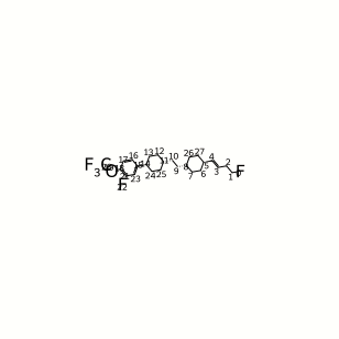 FCCC=C[C@H]1CC[C@H](CC[C@H]2CC[C@H](c3ccc(OC(F)(F)F)c(F)c3)CC2)CC1